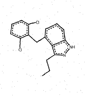 [CH2]CCc1n[nH]c2cccc(Cc3c(Cl)cccc3Cl)c12